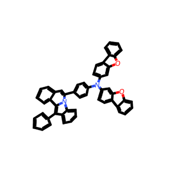 c1ccc(-c2c3ccccc3n3c(-c4ccc(N(c5ccc6c(c5)oc5ccccc56)c5ccc6c(c5)oc5ccccc56)cc4)cc4ccccc4c23)cc1